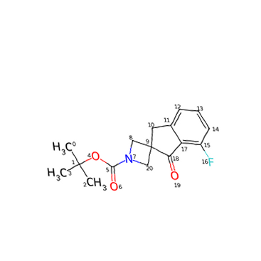 CC(C)(C)OC(=O)N1CC2(Cc3cccc(F)c3C2=O)C1